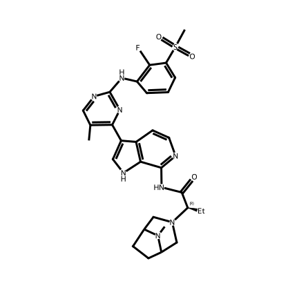 CC[C@H](C(=O)Nc1nccc2c(-c3nc(Nc4cccc(S(C)(=O)=O)c4F)ncc3C)c[nH]c12)N1CC2CCC(C1)N2C